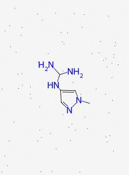 Cn1cc(NC(N)N)cn1